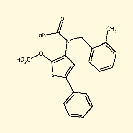 CCCC(=O)N(Cc1ccccc1C)c1cc(-c2ccccc2)sc1OC(=O)O